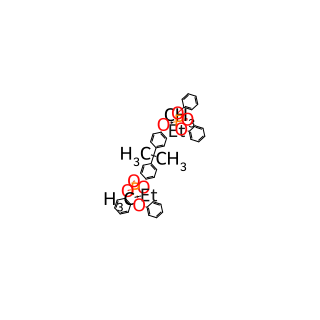 CCC(C)(Oc1ccc(C(C)(C)c2ccc(OP(=O)(Oc3ccccc3)C(C)(CC)Oc3ccccc3)cc2)cc1)P(=O)(Oc1ccccc1)Oc1ccccc1